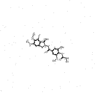 CCNC(=O)Oc1c(OCC)cc(C(=O)CN2Cc3cc(OCC)c(OCC)c(F)c3C2=N)cc1C(C)(C)C